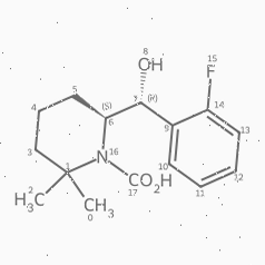 CC1(C)CCC[C@@H]([C@H](O)c2ccccc2F)N1C(=O)O